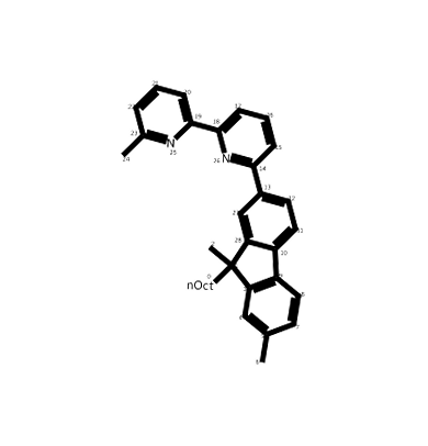 CCCCCCCCC1(C)c2cc(C)ccc2-c2ccc(-c3cccc(-c4cccc(C)n4)n3)cc21